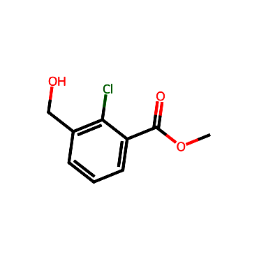 COC(=O)c1cccc(CO)c1Cl